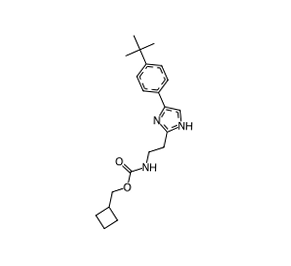 CC(C)(C)c1ccc(-c2c[nH]c(CCNC(=O)OCC3CCC3)n2)cc1